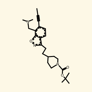 CC#Cc1ccc2c(CCC3CCN(C(=O)OC(C)(C)C)CC3)noc2c1CN(C)C